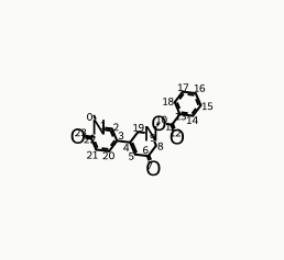 Cn1cc(C2=CC(=O)CN(OC(=O)c3ccccc3)C2)ccc1=O